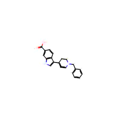 O=C(O)c1ccc2c(C3=C=CN(Cc4ccccc4)CC3)c[nH]c2c1